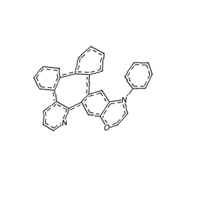 c1ccc(-n2ccoc3cc4c(cc32)c2ccccc2c2ccccc2c2cccnc24)cc1